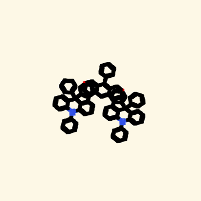 c1ccc(-c2c3cccc(-c4cccc5c4C(c4ccccc4)(c4ccccc4)c4ccccc4N5c4ccccc4)c3cc3c(-c4cccc5c4C(c4ccccc4)(c4ccccc4)c4ccccc4N5c4ccccc4)cccc23)cc1